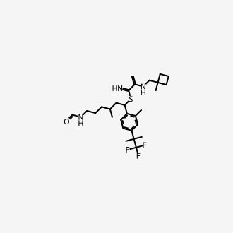 C=C(NCC1(C)CCC1)C(=N)SC(CC(C)CCCNC=O)c1ccc(C(C)(C)C(F)(F)F)cc1C